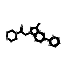 Cc1cn(CC(=O)N2CCOCC2)c2ccc(-c3ncccn3)cc12